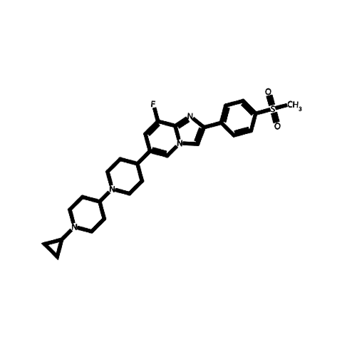 CS(=O)(=O)c1ccc(-c2cn3cc(C4CCN(C5CCN(C6CC6)CC5)CC4)cc(F)c3n2)cc1